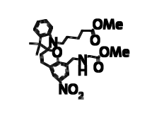 COC(=O)CCCCN1c2ccccc2C(C)(C)C12C=Cc1cc([N+](=O)[O-])cc(CNCC(=O)OC)c1O2